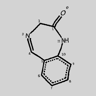 O=C1CN=Cc2ccccc2N1